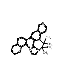 CC1(C)c2c3ccncc3cc3c4ccc5ccccc5c4n4cc[n+](c4c23)C1(C)C